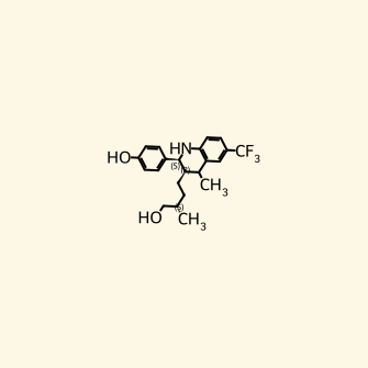 CC1c2cc(C(F)(F)F)ccc2N[C@H](c2ccc(O)cc2)[C@@H]1CC[C@H](C)CO